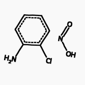 Nc1ccccc1Cl.O=NO